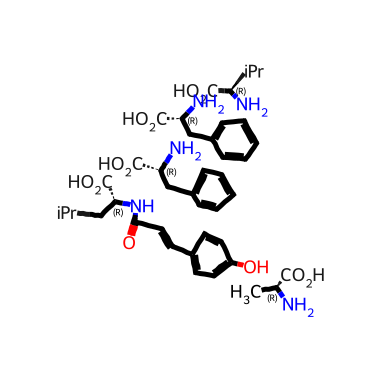 CC(C)C[C@@H](NC(=O)C=Cc1ccc(O)cc1)C(=O)O.CC(C)[C@@H](N)C(=O)O.C[C@@H](N)C(=O)O.N[C@H](Cc1ccccc1)C(=O)O.N[C@H](Cc1ccccc1)C(=O)O